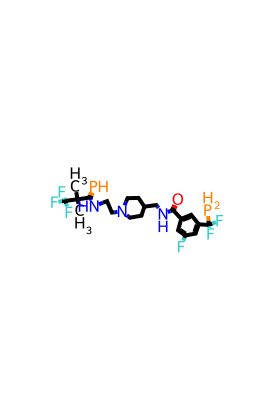 CC(C)(C(=P)NCCN1CCC(CNC(=O)c2cc(F)cc(C(F)(F)P)c2)CC1)C(F)(F)F